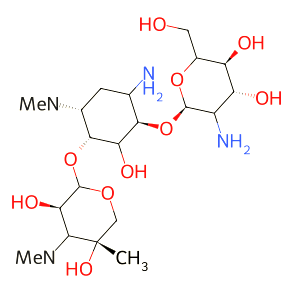 CNC1[C@@H](O)C(O[C@H]2C(O)[C@H](O[C@H]3OC(CO)[C@@H](O)[C@H](O)C3N)C(N)C[C@H]2NC)OC[C@]1(C)O